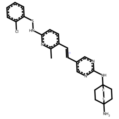 Cc1nc(NSc2ccccc2Cl)ccc1/C=C/c1cnc(NC23CCC(N)(CC2)CC3)nc1